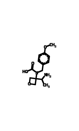 COc1ccc(CN(C(=O)O)C2(C(C)N)COC2)cc1